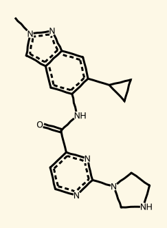 Cn1cc2cc(NC(=O)c3ccnc(N4CCNC4)n3)c(C3CC3)cc2n1